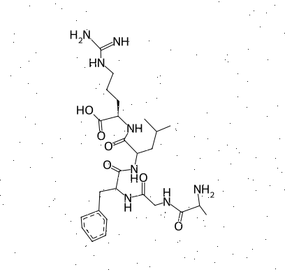 CC(C)CC(NC(=O)C(Cc1ccccc1)NC(=O)CNC(=O)C(C)N)C(=O)N[C@H](CCCNC(=N)N)C(=O)O